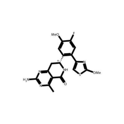 COc1nc(-c2cc(F)c(OC)cc2[C@H]2Cc3nc(N)nc(C)c3C(=O)N2)cs1